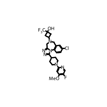 COc1cc(N2CCC(c3nnc4n3-c3ccc(Cl)cc3CN(C3CC(O)(C(F)(F)F)C3)C4)CC2)ncc1F